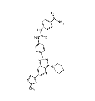 Cn1cc(-c2cnc3c(N4CCOCC4)nc(-c4ccc(NC(=O)Nc5ccc(C(N)=O)cc5)cc4)nc3c2)cn1